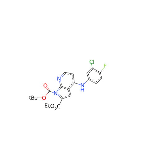 CCOC(=O)c1cc2c(Nc3ccc(F)c(Cl)c3)ccnc2n1C(=O)OC(C)(C)C